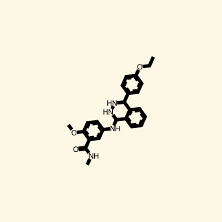 CCOc1ccc(C2NNC(Nc3ccc(OC)c(C(=O)NC)c3)c3ccccc32)cc1